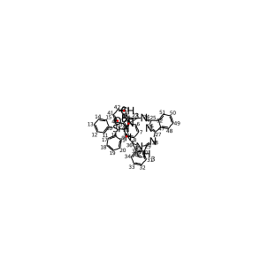 CB(O[Si](c1ccccc1)(c1ccccc1)c1ccccc1)n1c2nc3nc(nc4c5ccccc5c(nc1c1ccccc12)n4C)-c1ccccc1-3